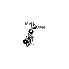 COc1cc(N2CCc3nc(NC(=O)Nc4ccccc4S(=O)(=O)C(C)C)sc3C2)nc(OC)n1